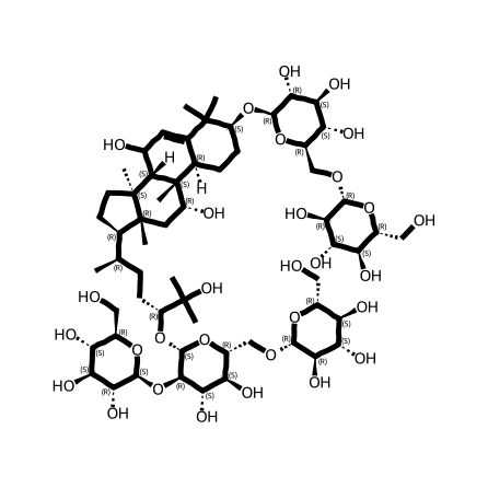 C[C@H](CC[C@@H](O[C@@H]1O[C@H](CO[C@@H]2O[C@H](CO)[C@@H](O)[C@H](O)[C@H]2O)[C@@H](O)[C@H](O)[C@H]1O[C@@H]1O[C@H](CO)[C@@H](O)[C@H](O)[C@H]1O)C(C)(C)O)[C@H]1CC[C@@]2(C)[C@@H]3C(O)C=C4[C@@H](CC[C@H](O[C@@H]5O[C@H](CO[C@@H]6O[C@H](CO)[C@@H](O)[C@H](O)[C@H]6O)[C@@H](O)[C@H](O)[C@H]5O)C4(C)C)[C@]3(C)[C@H](O)C[C@]12C